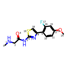 CNCC(=O)Nc1nc(-c2ccc(OC)cc2F)cs1